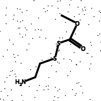 COC(=O)SSCCN